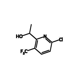 CC(O)c1nc(Cl)ccc1C(F)(F)F